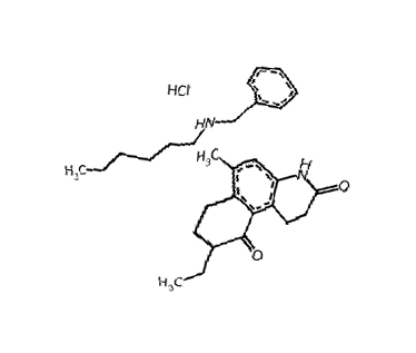 CCC1CCc2c(C)cc3c(c2C1=O)CCC(=O)N3.CCCCCCNCc1ccccc1.Cl